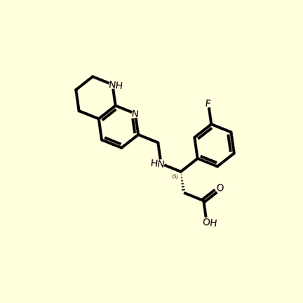 O=C(O)C[C@H](NCc1ccc2c(n1)NCCC2)c1cccc(F)c1